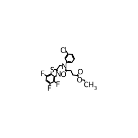 CCOC(=O)CCC(=O)N(Cc1nc2c(F)c(F)cc(F)c2s1)c1cccc(Cl)c1